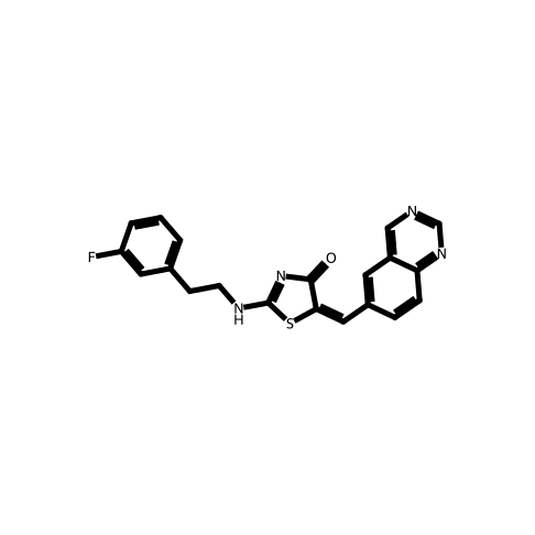 O=C1N=C(NCCc2cccc(F)c2)SC1=Cc1ccc2ncncc2c1